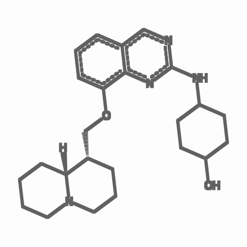 OC1CCC(Nc2ncc3cccc(OC[C@@H]4CCCN5CCCC[C@H]45)c3n2)CC1